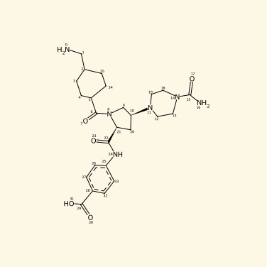 NCC1CCC(C(=O)N2C[C@@H](N3CCN(C(N)=O)CC3)C[C@H]2C(=O)Nc2ccc(C(=O)O)cc2)CC1